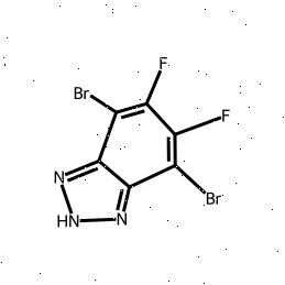 Fc1c(F)c(Br)c2n[nH]nc2c1Br